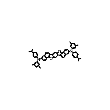 Cc1cc(C)cc(N(c2ccc(C(C)C)cc2)c2ccc3c(ccc4c5cc6oc7c8ccc(N(c9ccc(C(C)C)cc9)c9cc(C)cc(C)c9)cc8ccc7c6cc5oc34)c2)c1